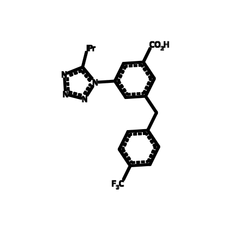 CC(C)c1nnnn1-c1cc(Cc2ccc(C(F)(F)F)cc2)cc(C(=O)O)c1